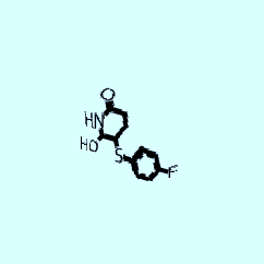 O=C1CCC(Sc2ccc(F)cc2)C(O)N1